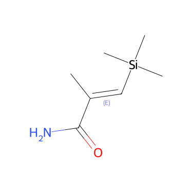 C/C(=C\[Si](C)(C)C)C(N)=O